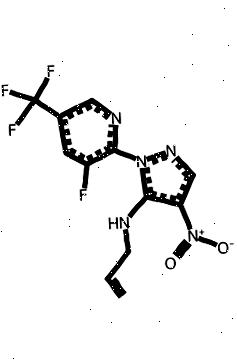 C=CCNc1c([N+](=O)[O-])cnn1-c1ncc(C(F)(F)F)cc1F